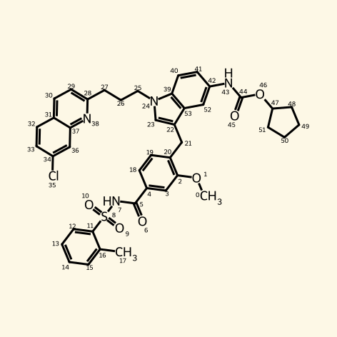 COc1cc(C(=O)NS(=O)(=O)c2ccccc2C)ccc1Cc1cn(CCCc2ccc3ccc(Cl)cc3n2)c2ccc(NC(=O)OC3CCCC3)cc12